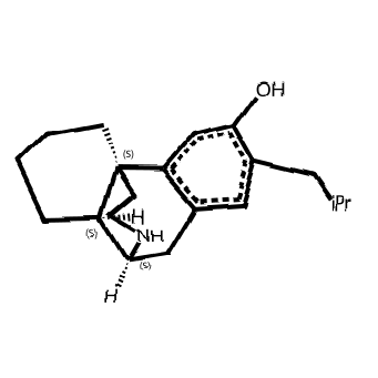 CC(C)Cc1cc2c(cc1O)[C@]13CCCC[C@@H]1[C@H](C2)NCC3